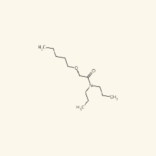 CCCCCOCC(=O)N(CCC)CCC